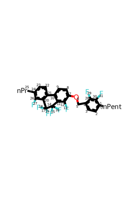 CCCCCc1ccc(COc2ccc3c(c2F)C(F)(F)C(F)(F)c2c-3ccc(CCC)c2F)c(F)c1F